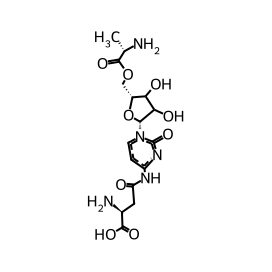 C[C@H](N)C(=O)OC[C@H]1O[C@@H](n2ccc(NC(=O)C[C@H](N)C(=O)O)nc2=O)C(O)C1O